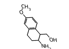 COc1ccc2c(c1)CCC(N)C2CO